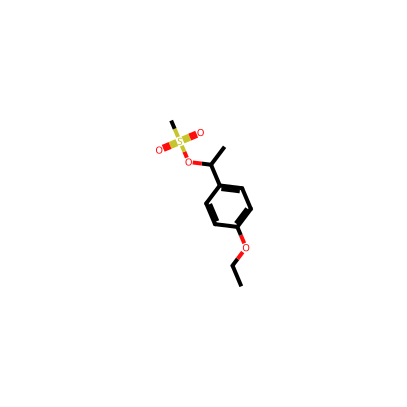 CCOc1ccc(C(C)OS(C)(=O)=O)cc1